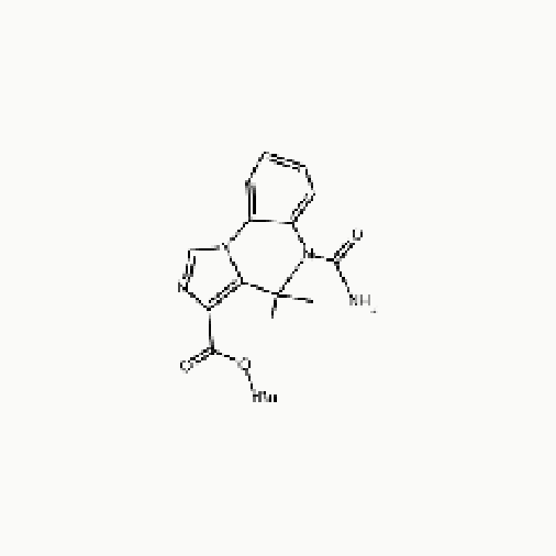 CC(C)(C)OC(=O)c1ncn2c1C(C)(C)N(C(N)=O)c1ccccc1-2